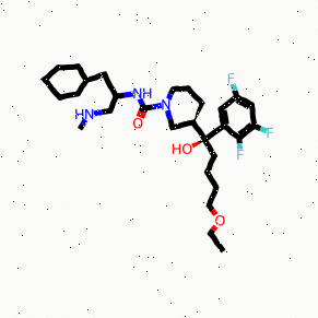 CCOCCCC[C@@](O)(c1cc(F)cc(F)c1F)[C@@H]1CCCN(C(=O)NC(CNC)CC2CCCCC2)C1